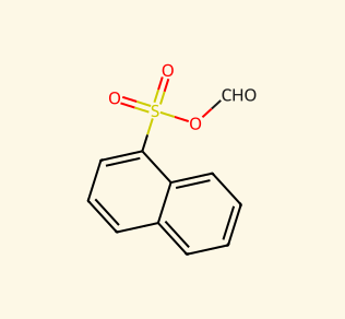 O=COS(=O)(=O)c1cccc2ccccc12